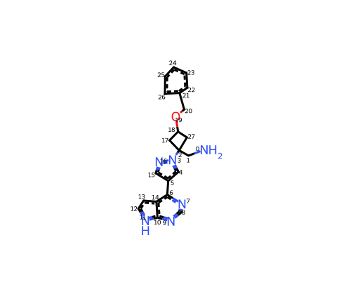 NCC1(n2cc(-c3ncnc4[nH]ccc34)cn2)CC(OCc2ccccc2)C1